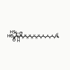 CN(C)CCCCCCCCCCCCCCCC(=O)NC(CS)C(=O)O